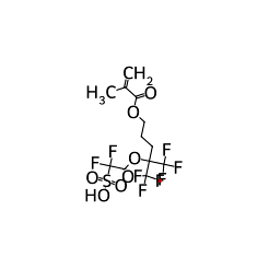 C=C(C)C(=O)OCCCC(OC(=O)C(F)(F)S(=O)(=O)O)(C(F)(F)F)C(F)(F)F